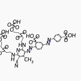 Cc1c(C#N)c(NCCS(=O)(=O)CCOS(=O)(=O)O)nc(NCCS(=O)(=O)CCOS(=O)(=O)O)c1/N=N/c1ccc(/N=N/c2ccc(S(=O)(=O)O)cc2)cc1S(=O)(=O)O